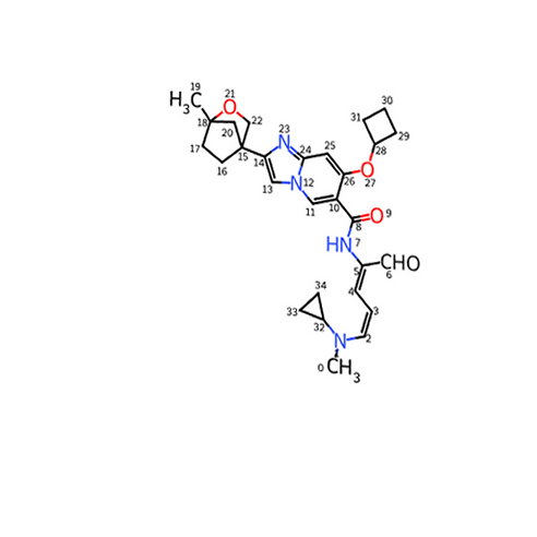 CN(/C=C\C=C(/C=O)NC(=O)c1cn2cc(C34CCC(C)(C3)OC4)nc2cc1OC1CCC1)C1CC1